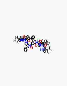 CN[C@@H](C)C(=O)N[C@H](C(=O)N1CCCC1CN(CCc1ccccc1)C(=O)c1cccc(C(=O)N(CCc2ccccc2)C[C@@H]2CCCN2C(=O)[C@@H](NC(=O)[C@H](C)NC)C(C)(C)C)c1)C(C)(C)C